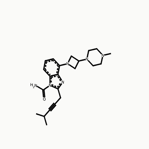 CC(C)C#CCc1nc2c(N3CC(N4CCN(C)CC4)C3)cccc2n1C(N)=O